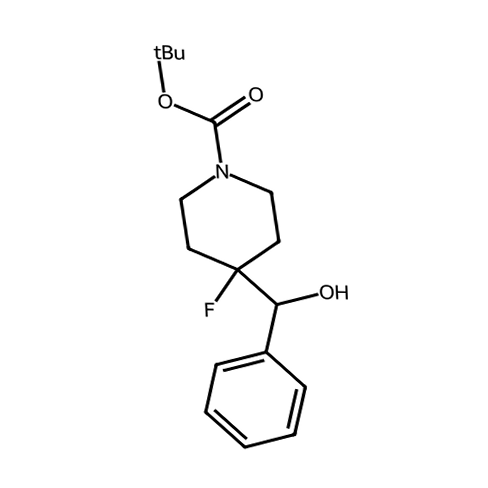 CC(C)(C)OC(=O)N1CCC(F)(C(O)c2ccccc2)CC1